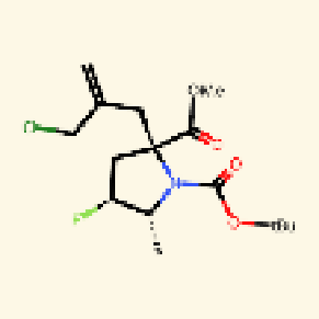 C=C(CCl)C[C@]1(C(=O)OC)C[C@H](F)[C@@H](C)N1C(=O)OC(C)(C)C